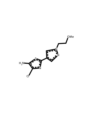 COCCn1cc(-c2nc(Cl)c(N)s2)cn1